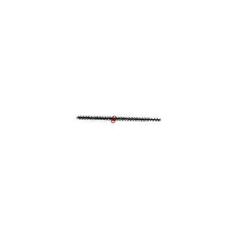 CCCCCCCCCCCCCCCCCCCCCCCCCCCCCCCCCCOC(=O)CCCCCCCCCCCCCCCCCCCCCCCCCC